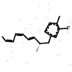 C\C=C/C=C\C=C\[C@@H](C)Cc1ccc(C)c(F)c1